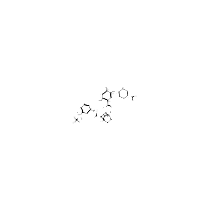 O=C(N[C@@H]1[C@H]2CC[C@H](C2)[C@@H]1C(=O)Nc1cccc(S(=O)(=O)C(F)(F)F)c1)c1cc(O[C@H]2CC[C@@H](C(=O)O)CC2)c(F)cc1F